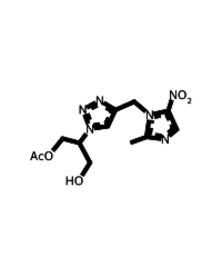 CC(=O)OCC(CO)n1cc(Cn2c([N+](=O)[O-])cnc2C)nn1